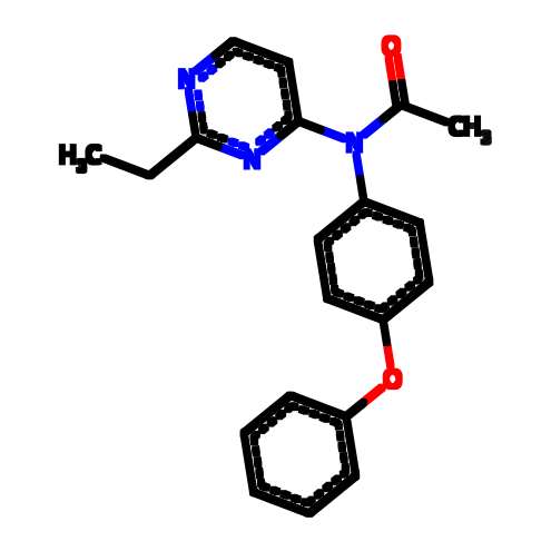 CCc1nccc(N(C(C)=O)c2ccc(Oc3ccccc3)cc2)n1